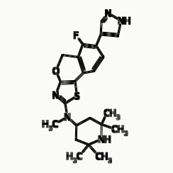 CN(c1nc2c(s1)-c1ccc(-c3cn[nH]c3)c(F)c1CO2)C1CC(C)(C)NC(C)(C)C1